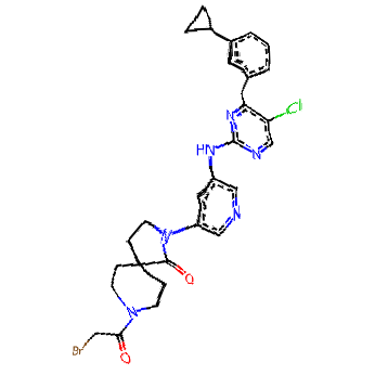 O=C(CBr)N1CCC2(CC1)CCN(c1cncc(Nc3ncc(Cl)c(-c4cccc(C5CC5)c4)n3)c1)C2=O